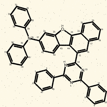 c1ccc(-c2nc(-c3ccccc3)nc(-c3cc4ccccc4c4oc5cc(N(c6ccccc6)c6ccccc6)ccc5c34)n2)cc1